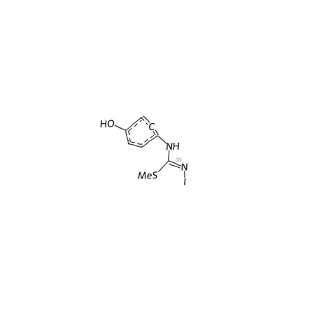 CS/C(=N\I)Nc1ccc(O)cc1